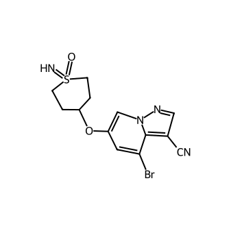 N#Cc1cnn2cc(OC3CCS(=N)(=O)CC3)cc(Br)c12